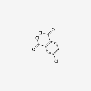 O=C(Cl)c1ccc(Cl)cc1C(=O)Cl